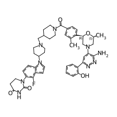 Cc1cc(C(=O)N2CCC(CN3CCC(n4ccc5c(F)c(N6CCC(=O)NC6=O)ccc54)CC3)CC2)ccc1[C@@H]1CN(c2cc(-c3ccccc3O)nnc2N)C[C@H](C)O1